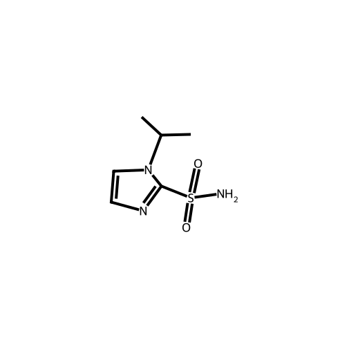 CC(C)n1ccnc1S(N)(=O)=O